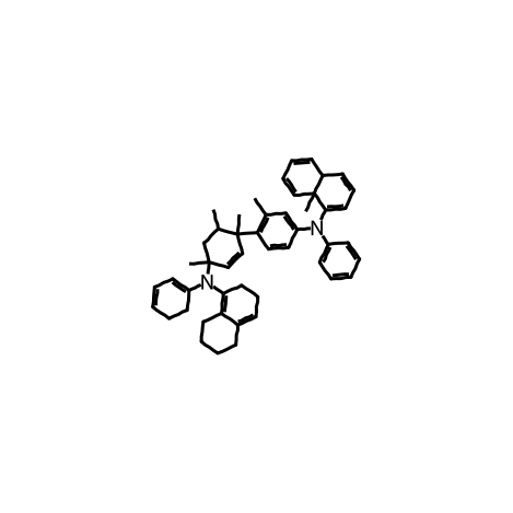 Cc1cc(N(C2=CC=CC3C=CC=CC23C)c2ccccc2)ccc1C1(C)C=CC(C)(N(C2=CC=CCC2)C2=C3CCCCC3=CCC2)CC1C